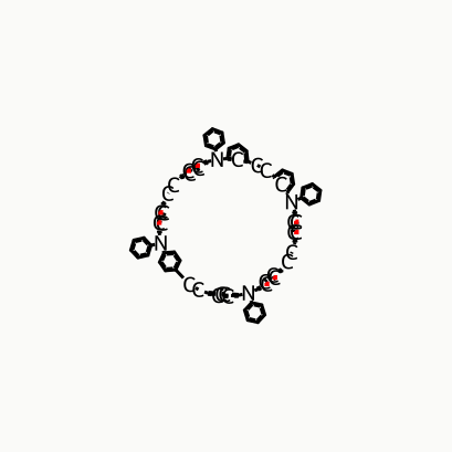 c1ccc(N2c3ccc(cc3)CCc3ccc(cc3)N(c3ccccc3)c3ccc(cc3)CCc3ccc(cc3)N(c3ccccc3)c3cccc(c3)CCc3cccc(c3)N(c3ccccc3)c3ccc(cc3)CCc3ccc2cc3)cc1